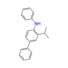 CC(C)c1cc(-c2ccccc2)ccc1Nc1ccccc1